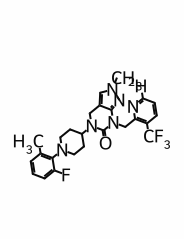 [2H]c1ccc(C(F)(F)F)c(CN2C(=O)N(C3CCN(c4c(C)cccc4F)CC3)Cc3cn(C)nc32)n1